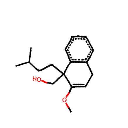 COC1=CCc2ccccc2C1(CO)CCC(C)C